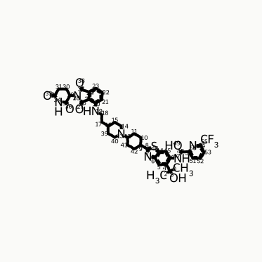 CC(C)(O)c1cc2nc(C3CCC(N4CCC(CCNc5cccc6c5C(=O)N(C5CCC(=O)NC5=O)C6=O)CC4)CC3)sc2cc1NC(O)c1cccc(C(F)(F)F)n1